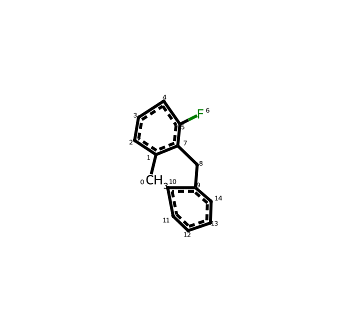 Cc1cccc(F)c1Cc1ccccc1